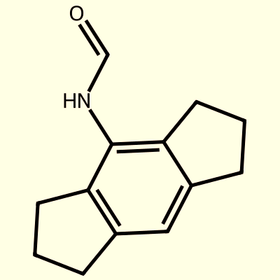 O=CNc1c2c(cc3c1CCC3)CCC2